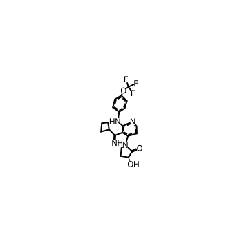 N=C(c1c(N2CC[C@H](O)C2=O)ccnc1Nc1ccc(OC(F)(F)F)cc1)C1CCC1